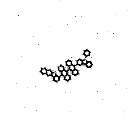 c1ccc(-n2c3ccccc3c3cc(-c4c5ccccc5c(-c5c6ccccc6c(-c6cccc7c6oc6cc8ccccc8cc67)c6ccccc56)c5ccccc45)ccc32)cc1